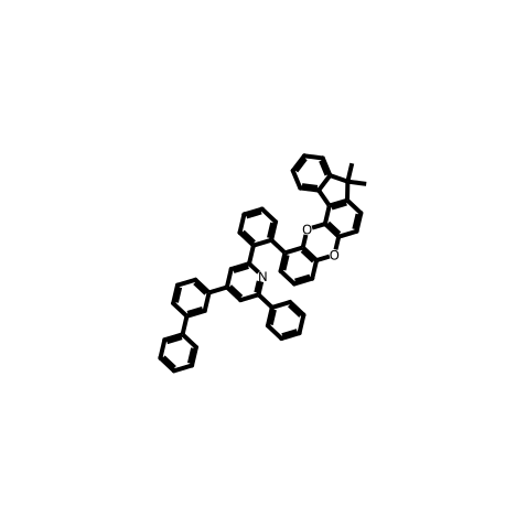 CC1(C)c2ccccc2-c2c1ccc1c2Oc2c(cccc2-c2ccccc2-c2cc(-c3cccc(-c4ccccc4)c3)cc(-c3ccccc3)n2)O1